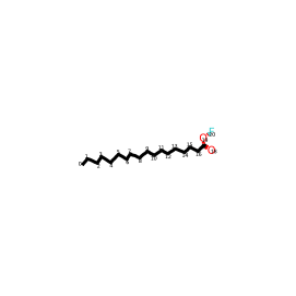 CCCCCCCCCCCCCCCCCC(=O)OF